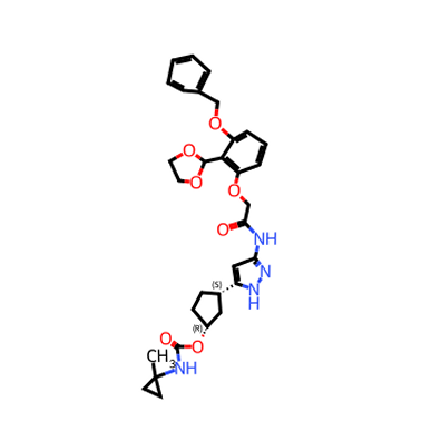 CC1(NC(=O)O[C@@H]2CC[C@H](c3cc(NC(=O)COc4cccc(OCc5ccccc5)c4C4OCCO4)n[nH]3)C2)CC1